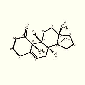 C[C@@]12CCC[C@H]1[C@@H]1CC=C3CCCC(=O)[C@]3(C)[C@@H]1CC2